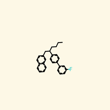 CCCCC(Cc1ccc2ccccc2c1)c1ccc(-c2cccc(F)c2)cc1